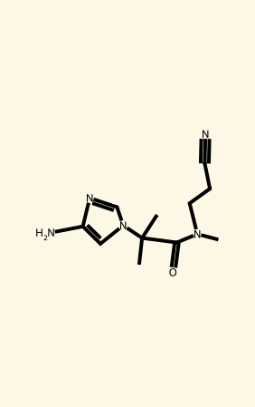 CN(CCC#N)C(=O)C(C)(C)n1cnc(N)c1